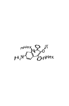 CCCCCCOc1c(OC(C)C)c(=O)n(CCCCCC)c2cc(N)ccc12